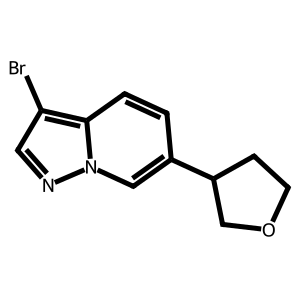 Brc1cnn2cc(C3CCOC3)ccc12